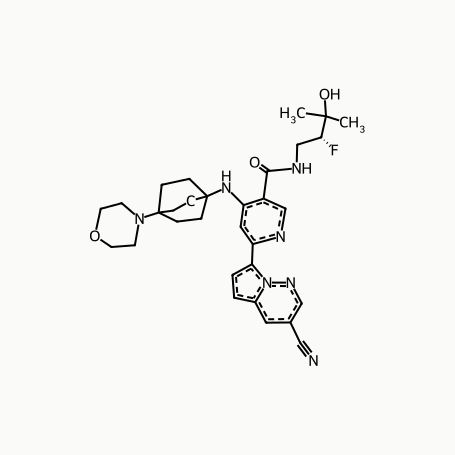 CC(C)(O)[C@H](F)CNC(=O)c1cnc(-c2ccc3cc(C#N)cnn23)cc1NC12CCC(N3CCOCC3)(CC1)CC2